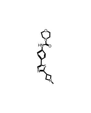 CN1CC(c2ncc(-c3ccc(NC(=O)N4CCOCC4)cc3)s2)C1